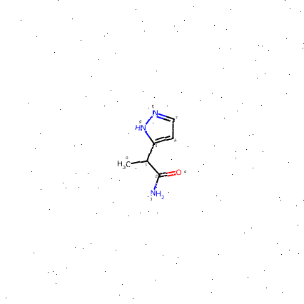 CC(C(N)=O)c1ccn[nH]1